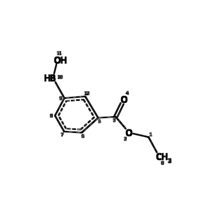 CCOC(=O)c1cccc(BO)c1